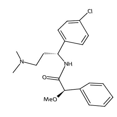 CO[C@@H](C(=O)N[C@H](CCN(C)C)c1ccc(Cl)cc1)c1ccccc1